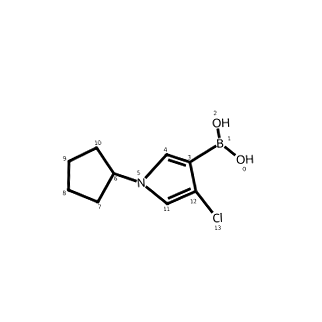 OB(O)c1cn(C2CCCC2)cc1Cl